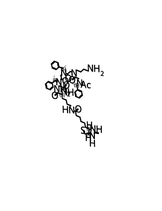 C=C1N[C@H]2CSC(CCCCC(=O)NCCCC[C@H](NC(=O)CN(C(=O)CN(C(=O)CN(CCCCN)C(=O)CN(C(C)=O)[C@@H](C)c3ccccc3)[C@@H](C)c3ccccc3)[C@@H](C)c3ccccc3)C(N)=O)[C@H]2N1